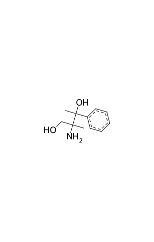 CC(N)(CO)C(C)(O)c1ccccc1